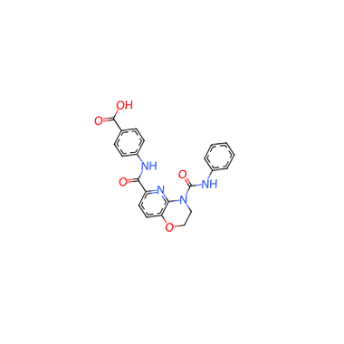 O=C(O)c1ccc(NC(=O)c2ccc3c(n2)N(C(=O)Nc2ccccc2)CCO3)cc1